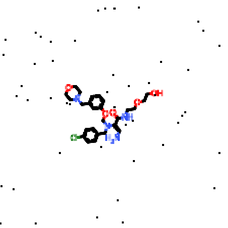 N/C=C(/C(=O)NCCOCCO)N(COc1cccc(CN2CCOCC2)c1)Cc1ccc(Cl)cc1